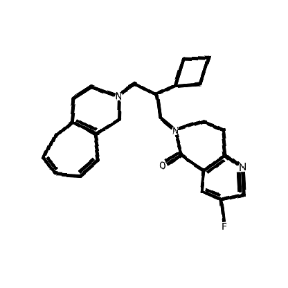 O=C1c2cc(F)cnc2CCN1CC(CN1CCC2=C(C=CC=CC2)C1)C1CCC1